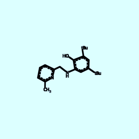 Cc1cccc(CNc2cc(C(C)(C)C)cc(C(C)(C)C)c2O)n1